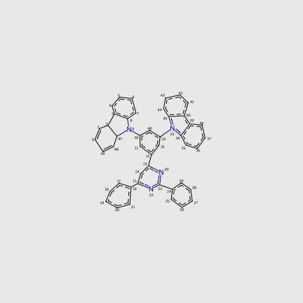 C1=CC2c3ccccc3N(c3cc(-c4cc(-c5ccccc5)nc(-c5ccccc5)n4)cc(-n4c5ccccc5c5ccccc54)c3)C2C=C1